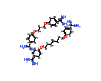 N=C(N)c1ccc(OCCCCCCOc2ccc(C(=N)N)cc2)cc1.N=C(N)c1ccc(OCCCOc2ccc(C(=N)N)cc2)cc1